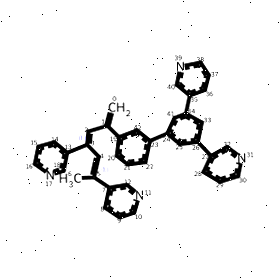 C=C(/C=C(\C=C(/C)c1cccnc1)c1cccnc1)c1cccc(-c2cc(-c3cccnc3)cc(-c3cccnc3)c2)c1